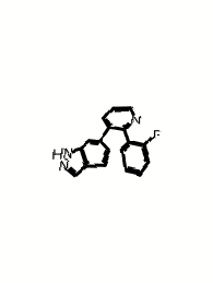 Fc1ccccc1-c1ncccc1-c1ccc2cn[nH]c2c1